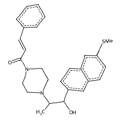 CSc1ccc2cc(C(O)C(C)N3CCN(C(=O)/C=C/c4ccccc4)CC3)ccc2c1